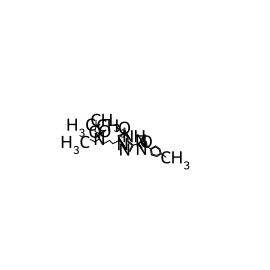 CCCN(CCCc1cc(=O)[nH]c2c(-c3noc(-c4ccc(C)cc4)n3)cnn12)C(=O)OC(C)(C)C